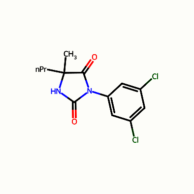 CCCC1(C)NC(=O)N(c2cc(Cl)cc(Cl)c2)C1=O